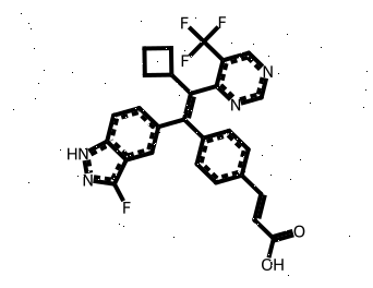 O=C(O)C=Cc1ccc(C(=C(c2ncncc2C(F)(F)F)C2CCC2)c2ccc3[nH]nc(F)c3c2)cc1